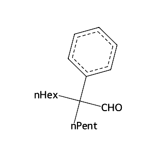 CCCCCCC(C=O)(CCCCC)c1ccccc1